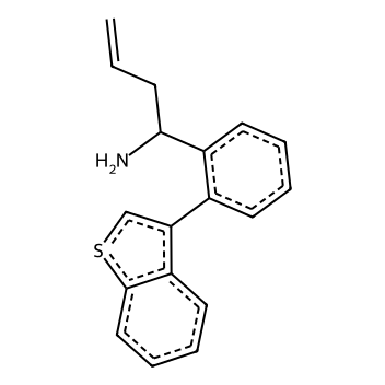 C=CCC(N)c1ccccc1-c1csc2ccccc12